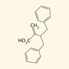 C=C(C(=O)O)C(Cc1ccccc1)Cc1ccccc1